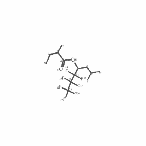 CCC(C)C(=O)OC(CC(C)C)C(F)(F)C(F)(F)C(F)(F)F